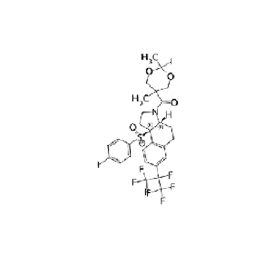 CC1(I)OCC(C)(C(=O)N2CC[C@@]3(S(=O)(=O)c4ccc(I)cc4)c4ccc(C(F)(C(F)(F)F)C(F)(F)F)cc4CC[C@@H]23)CO1